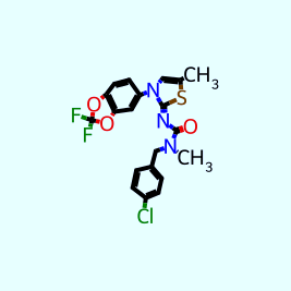 Cc1cn(-c2ccc3c(c2)OC(F)(F)O3)/c(=N/C(=O)N(C)Cc2ccc(Cl)cc2)s1